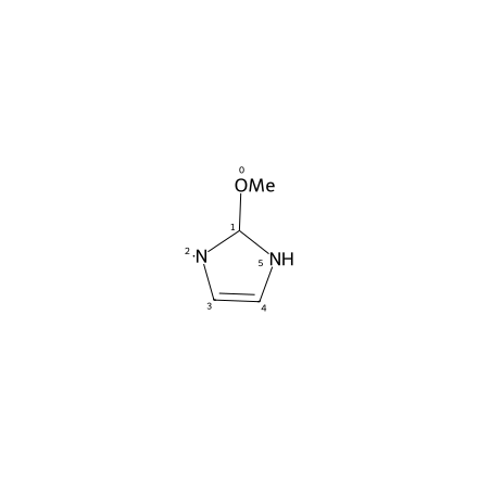 COC1[N]C=CN1